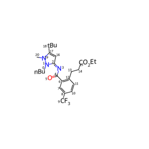 CCCCn1c(=NC(=O)c2cc(C(F)(F)F)ccc2CCC(=O)OCC)cc(C(C)(C)C)n1C